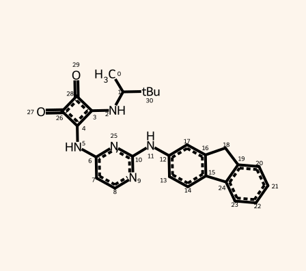 CC(Nc1c(Nc2ccnc(Nc3ccc4c(c3)Cc3ccccc3-4)n2)c(=O)c1=O)C(C)(C)C